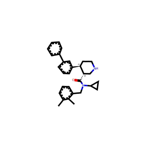 Cc1cccc(CN(C(=O)[C@H]2CNCC[C@@H]2c2cccc(-c3ccccc3)c2)C2CC2)c1C